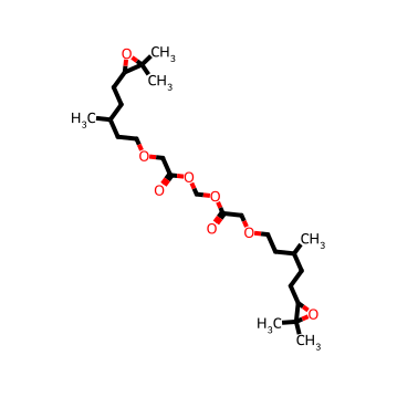 CC(CCOCC(=O)OCOC(=O)COCCC(C)CCC1OC1(C)C)CCC1OC1(C)C